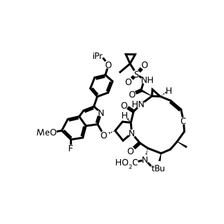 COc1cc2cc(-c3ccc(OC(C)C)cc3)nc(O[C@@H]3C[C@H]4C(=O)N[C@]5(C(=O)NS(=O)(=O)C6(C)CC6)C[C@H]5/C=C\CC[C@@H](C)C[C@@H](C)[C@H](N(C(=O)O)C(C)(C)C)C(=O)N4C3)c2cc1F